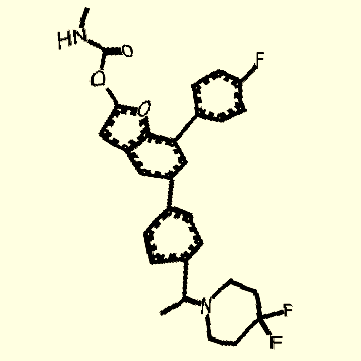 CNC(=O)Oc1cc2cc(-c3ccc(C(C)N4CCC(F)(F)CC4)cc3)cc(-c3ccc(F)cc3)c2o1